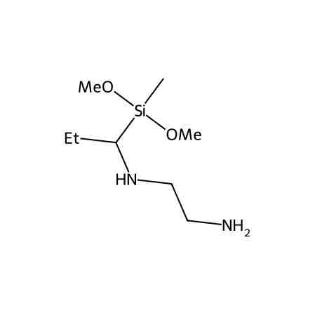 CCC(NCCN)[Si](C)(OC)OC